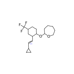 FC(F)(F)C1CCC(OC2CCCCCO2)C(/C=C/C2CC2)C1